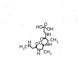 CNCC(=O)N[C@@H](C)C(=O)N[C@@H](C)C(=O)NCP(=O)(O)O